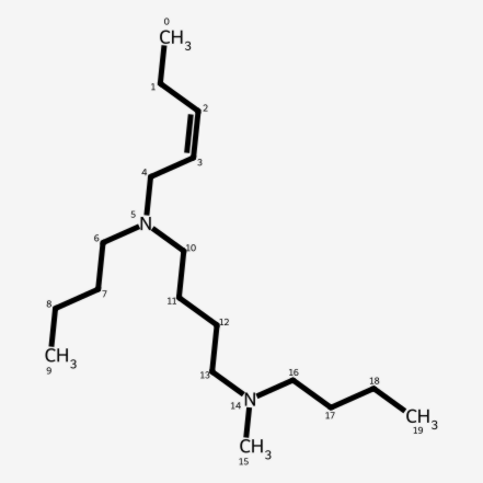 CC/C=C\CN(CCCC)CCCCN(C)CCCC